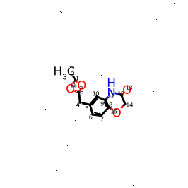 CC1OC(Cc2ccc3c(c2)NC(=O)CO3)O1